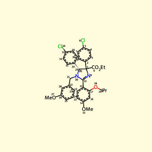 CCOC(=O)C1(c2ccc(Cl)cc2)N=C(c2ccc(OC)cc2OC(C)C)N(Cc2cccc(OC)c2)[C@@H]1c1ccc(Cl)cc1